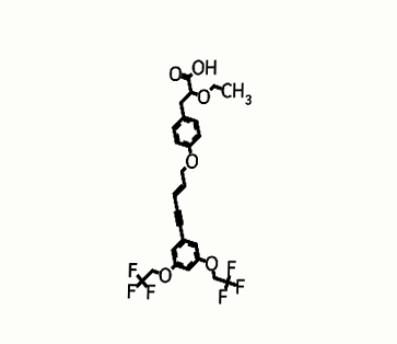 CCOC(Cc1ccc(OCC=CC#Cc2cc(OCC(F)(F)F)cc(OCC(F)(F)F)c2)cc1)C(=O)O